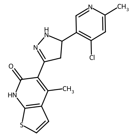 Cc1cc(Cl)c(C2CC(c3c(C)c4ccsc4[nH]c3=O)=NN2)cn1